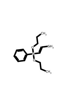 CCCO[Si](C=C[SiH3])(OCCC)c1ccccc1